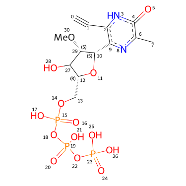 C#Cc1[nH]c(=O)c(C)nc1[C@@H]1O[C@H](COP(=O)(O)OP(=O)(O)OP(=O)(O)O)C(O)[C@@H]1OC